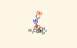 CC1(C)OB(c2cnn(C3=CCS(=O)(=O)C=C3)c2)OC1(C)C